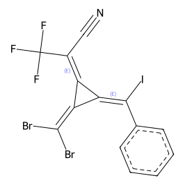 N#C/C(=C1/C(=C(Br)Br)/C1=C(/I)c1ccccc1)C(F)(F)F